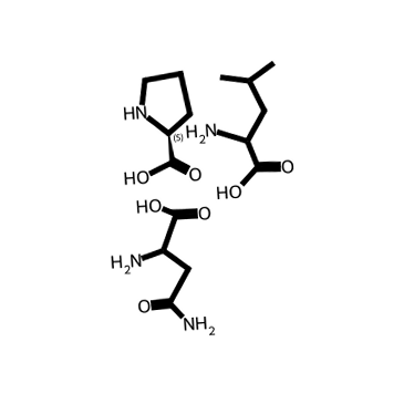 CC(C)CC(N)C(=O)O.NC(=O)CC(N)C(=O)O.O=C(O)[C@@H]1CCCN1